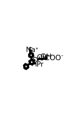 CC(C)c1cc(-c2ccccc2)cc(-c2ccc(F)cc2)c1OC[C@@H](O)C[C@@H](O)CC(=O)[O-].[Na+]